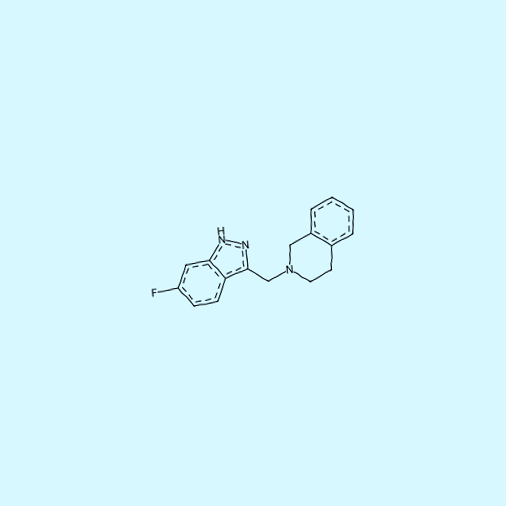 Fc1ccc2c(CN3CCc4ccccc4C3)n[nH]c2c1